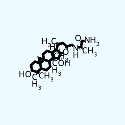 C[C@H](NCC1C[C@@H](C)[C@H]2C(O1)[C@H](O)[C@@]1(C)C3CCC4C(C)(C)C(O)CCC45CC35CCC21C)C(N)=O